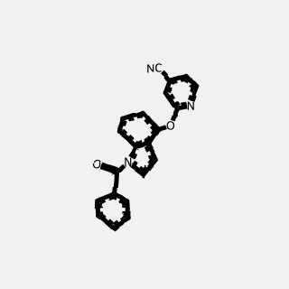 N#Cc1ccnc(Oc2cccc3c2ccn3C(=O)c2ccccc2)c1